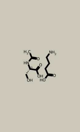 CC(=O)N[C@@H](CO)C(=O)O.NCCCC(=O)O